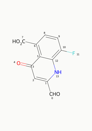 O=Cc1cc(=O)c2c(C(=O)O)ccc(F)c2[nH]1